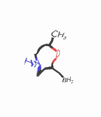 BC1CNCC(C)O1